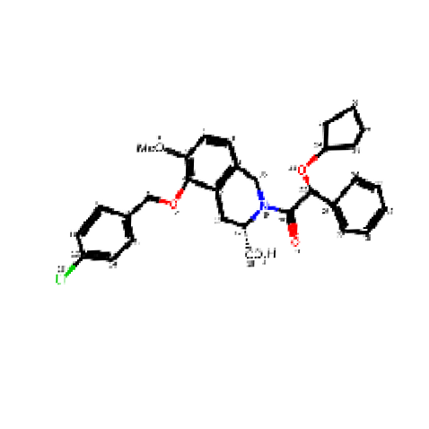 COc1ccc2c(c1OCc1ccc(Cl)cc1)C[C@@H](C(=O)O)N(C(=O)[C@@H](OC1CCCC1)c1ccccc1)C2